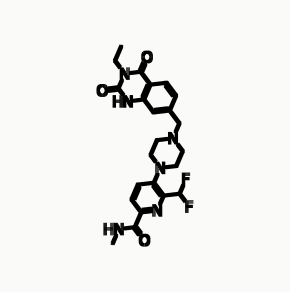 CCn1c(=O)[nH]c2cc(CN3CCN(c4ccc(C(=O)NC)nc4C(F)F)CC3)ccc2c1=O